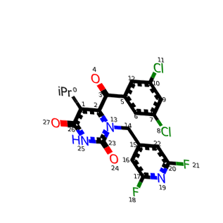 CC(C)c1c(C(=O)c2cc(Cl)cc(Cl)c2)n(Cc2cc(F)nc(F)c2)c(=O)[nH]c1=O